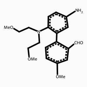 COCCN(CCOC)c1ccc(N)cc1-c1ccc(OC)cc1C=O